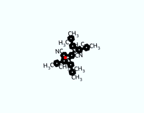 Cc1ccc(-c2ccc3c(c2)c2cc(-c4ccc(C)cc4C)ccc2n3-c2cc(-c3cccc(C#N)c3)c(-n3c4ccc(-c5ccc(C)cc5C)cc4c4cc(-c5ccc(C)cc5C)ccc43)cc2C#N)c(C)c1